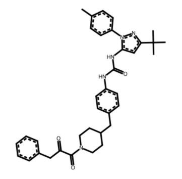 Cc1ccc(-n2nc(C(C)(C)C)cc2NC(=O)Nc2ccc(CC3CCN(C(=O)C(=O)Cc4ccccc4)CC3)cc2)cc1